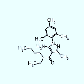 CCCCC(CC)C(=O)c1c(C)nn(-c2c(C)cc(C)cc2C)c1N